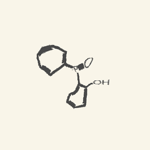 O=[P](c1ccccc1)c1ccccc1O